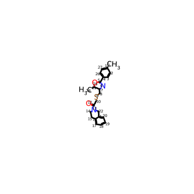 Cc1ccc(C2=NC(CSCC(=O)N3CCc4ccccc4C3)C(C)O2)cc1